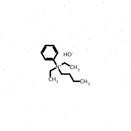 CCCC[N+](CC)(CC)c1ccccc1.[OH-]